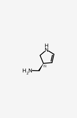 NC[C@@H]1C=CNC1